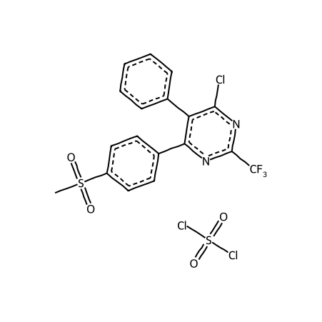 CS(=O)(=O)c1ccc(-c2nc(C(F)(F)F)nc(Cl)c2-c2ccccc2)cc1.O=S(=O)(Cl)Cl